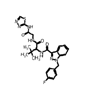 CC(C)(C)C(NC(=O)c1nn(Cc2ccc(F)cc2)c2ccccc12)C(=O)NCC(=O)Nc1nncs1